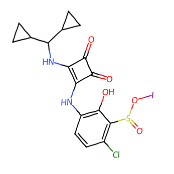 O=c1c(Nc2ccc(Cl)c(S(=O)OI)c2O)c(NC(C2CC2)C2CC2)c1=O